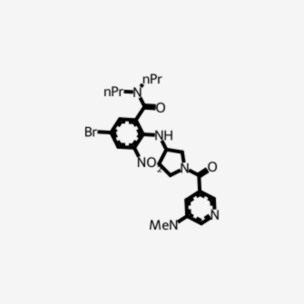 CCCN(CCC)C(=O)c1cc(Br)cc([N+](=O)[O-])c1NC1CCN(C(=O)c2cncc(NC)c2)C1